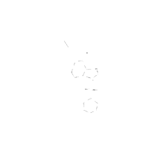 C=CCc1ccc2c(ccn2S(=O)(=O)c2ccc(C)cc2)c1O